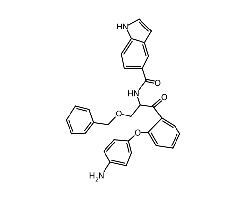 Nc1ccc(Oc2ccccc2C(=O)C(COCc2ccccc2)NC(=O)c2ccc3[nH]ccc3c2)cc1